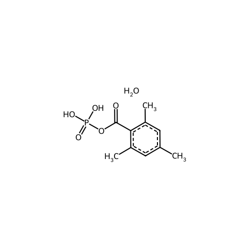 Cc1cc(C)c(C(=O)OP(=O)(O)O)c(C)c1.O